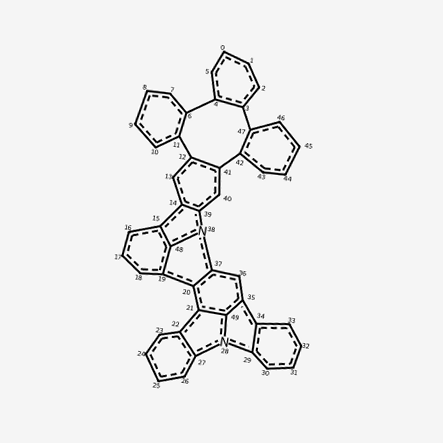 c1ccc2c(c1)-c1ccccc1-c1cc3c4cccc5c6c7c8ccccc8n8c9ccccc9c(cc6n(c3cc1-c1ccccc1-2)c45)c78